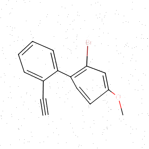 C#Cc1ccccc1-c1ccc(OC)cc1Br